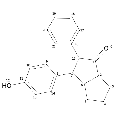 O=C1C2CCCC2C(c2ccc(O)cc2)C1c1ccccc1